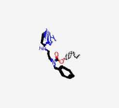 CC(C)(C)OC(=O)N(CCNc1cc[nH]n1)Cc1ccccc1